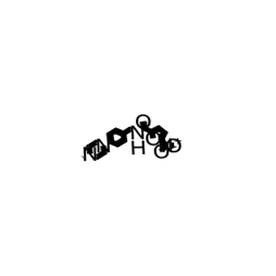 CN1CCN(c2ccc(CNC(=O)c3ccc([N+](=O)[O-])o3)cc2)CC1